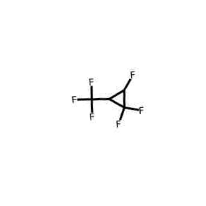 FC1C(C(F)(F)F)C1(F)F